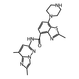 Cc1cn2nc(NC(=O)c3ccc(N4CCNCC4)c4sc(C)nc34)cc(C)c2n1